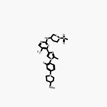 CNC1CCN(c2ccc(-n3cc(-c4nc(NC5CCN(S(C)(=O)=O)CC5)ncc4C(F)(F)F)nc3C)c(F)c2)CC1